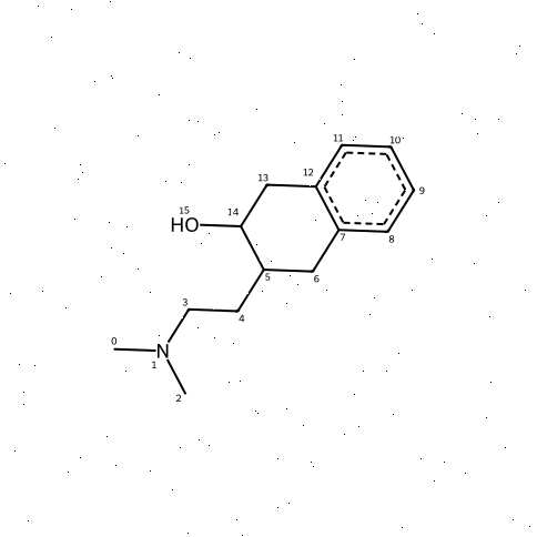 CN(C)CCC1Cc2ccccc2CC1O